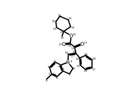 Cc1ccc2c(c1)CCN2/C=C(/C(=O)C(=O)OC1(C)CCCCC1)c1ccccc1